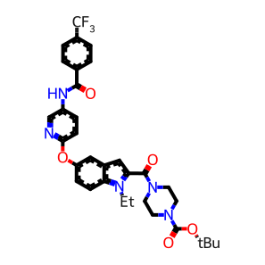 CCn1c(C(=O)N2CCN(C(=O)OC(C)(C)C)CC2)cc2cc(Oc3ccc(NC(=O)c4ccc(C(F)(F)F)cc4)cn3)ccc21